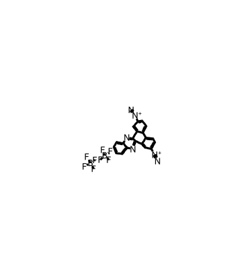 F[B-](F)(F)F.F[B-](F)(F)F.N#[N+]c1ccc2c3ccc([N+]#N)cc3c3nc4ccccc4nc3c2c1